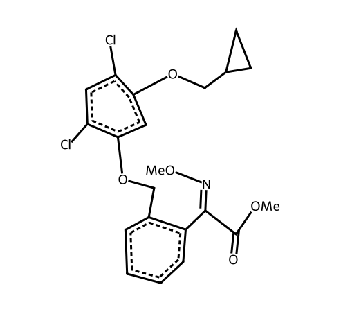 CO/N=C(/C(=O)OC)c1ccccc1COc1cc(OCC2CC2)c(Cl)cc1Cl